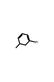 CC1C=CC=C(C(C)C)C1